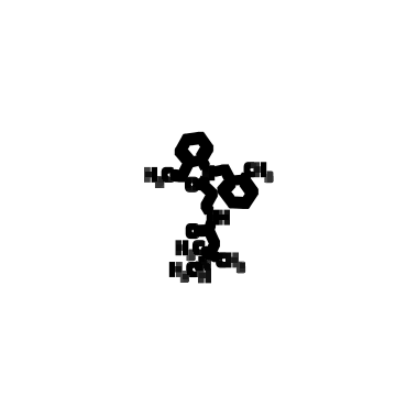 C=Cc1ccccc1N(Cc1ccccc1C)C(=O)CCNC(=O)CC(C)(C)NC